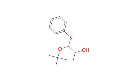 CC(O)C(OC(C)(C)C)Sc1ccccc1